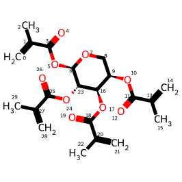 C=C(C)C(=O)O[C@H]1OC[C@@H](OC(=O)C(=C)C)[C@@H](OC(=O)C(=C)C)[C@@H]1OC(=O)C(=C)C